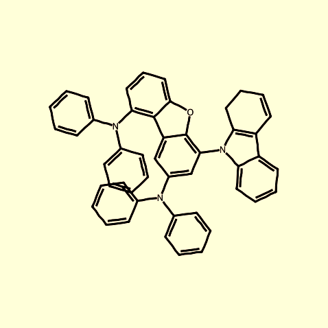 C1=Cc2c(n(-c3cc(N(c4ccccc4)c4ccccc4)cc4c3oc3cccc(N(c5ccccc5)c5ccccc5)c34)c3ccccc23)CC1